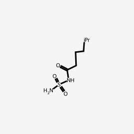 CC(C)CCCC(=O)NS(N)(=O)=O